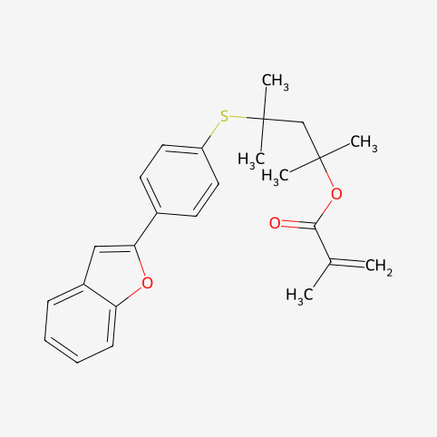 C=C(C)C(=O)OC(C)(C)CC(C)(C)Sc1ccc(-c2cc3ccccc3o2)cc1